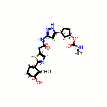 CC(C)NC(=O)O[C@@H]1CC[C@H](c2cc(NC(=O)Cc3cnc(-c4cccc(O)c4C=O)s3)n[nH]2)C1